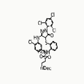 CCCCCCCCCCCCS(=O)(=O)Nc1ccc(Cl)c(NC2=NN(c3c(Cl)cc(Cl)cc3Cl)C(=O)C2Sc2ccccc2NC(C)=O)c1